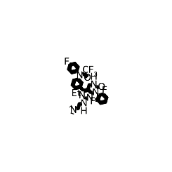 CCc1ccc(N(C(=O)C(F)(F)F)c2ccc(F)cc2)cc1-c1nc(NCCN(C)C)nc2c1CNC(=O)N2c1c(F)cccc1F